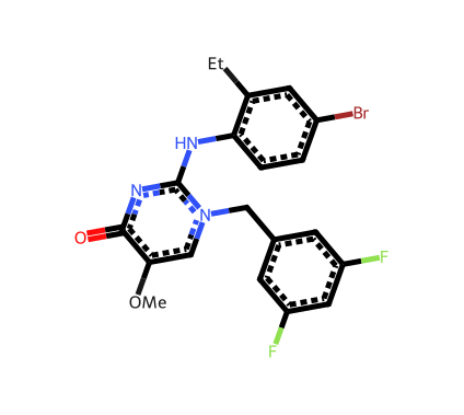 CCc1cc(Br)ccc1Nc1nc(=O)c(OC)cn1Cc1cc(F)cc(F)c1